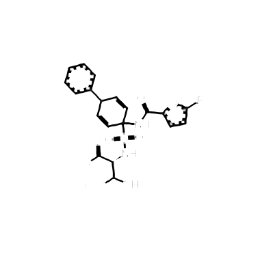 CC(C)[C@H](NS(=O)(=O)C1(NC(=O)c2ccc(Br)o2)C=CC(c2ccccc2)C=C1)C(=O)O